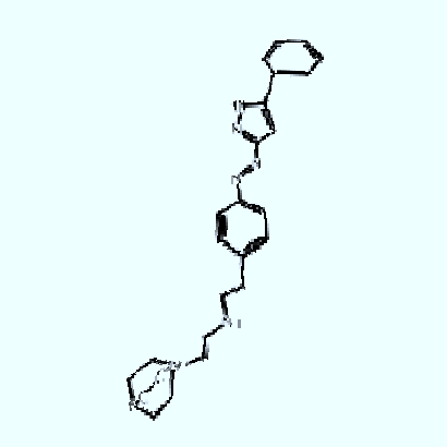 c1ccc(-c2cc(N=Nc3ccc(CCNCC[N+]45CCN(CC4)CC5)cc3)n[nH]2)cc1